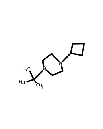 CC(C)(C)N1CCN(C2CCC2)CC1